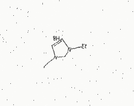 B.CCN1C=CN(C)C1